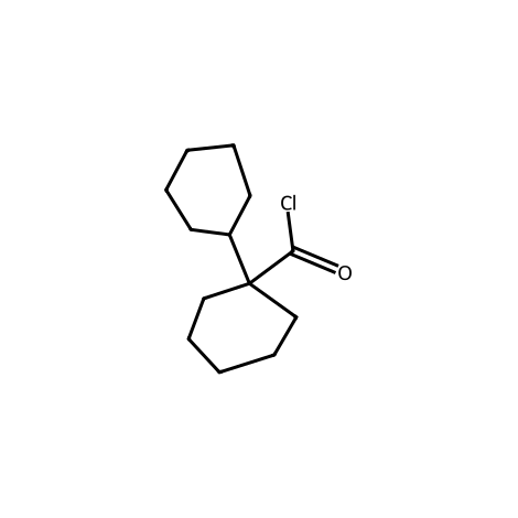 O=C(Cl)C1(C2CCCCC2)CCCCC1